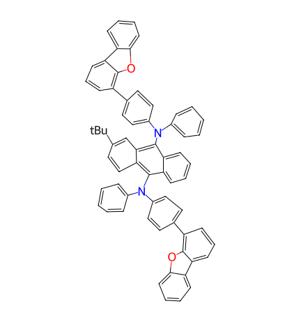 CC(C)(C)c1ccc2c(N(c3ccccc3)c3ccc(-c4cccc5c4oc4ccccc45)cc3)c3ccccc3c(N(c3ccccc3)c3ccc(-c4cccc5c4oc4ccccc45)cc3)c2c1